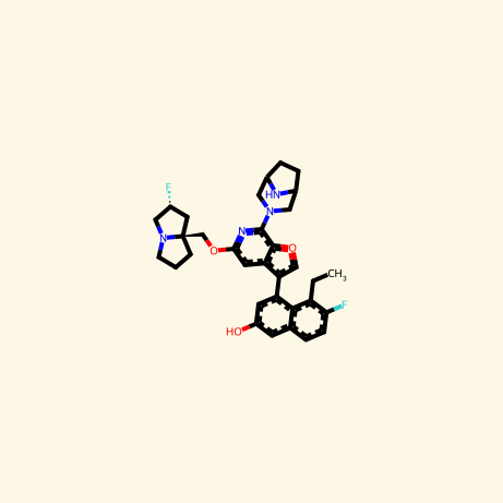 CCc1c(F)ccc2cc(O)cc(-c3coc4c(N5CC6CCC(C5)N6)nc(OC[C@@]56CCCN5C[C@H](F)C6)cc34)c12